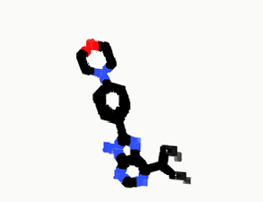 CC(C)c1ncnc2[nH]c(-c3ccc(N4CCOCC4)cc3)nc12